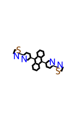 c1ccc2c(-c3ccc(-c4nccs4)nc3)c3ccccc3c(-c3ccc(-c4nccs4)nc3)c2c1